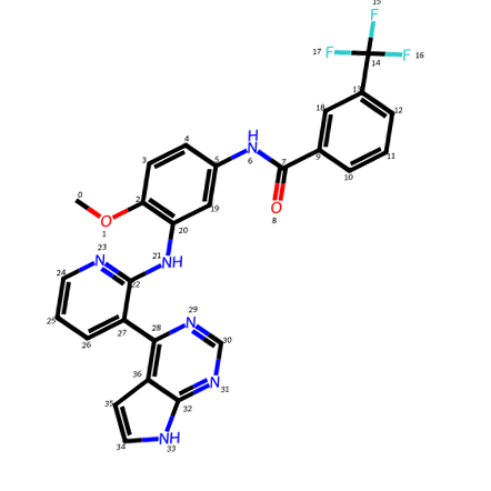 COc1ccc(NC(=O)c2cccc(C(F)(F)F)c2)cc1Nc1ncccc1-c1ncnc2[nH]ccc12